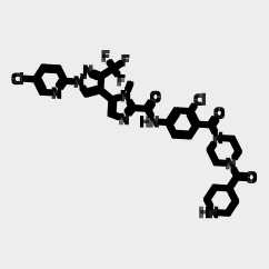 Cn1c(-c2cn(-c3ccc(Cl)cn3)nc2C(F)(F)F)cnc1C(=O)Nc1ccc(C(=O)N2CCN(C(=O)C3CCNCC3)CC2)c(Cl)c1